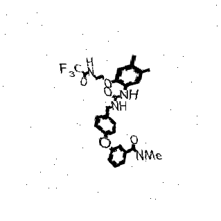 CNC(=O)c1cccc(Oc2ccc(CNC(=O)Nc3cc(C)c(C)cc3OCCNC(=O)C(F)(F)F)cc2)c1